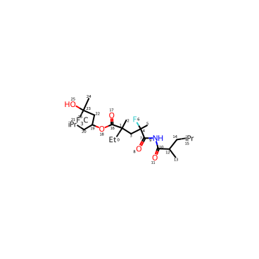 CCC(C)(CC(C)(F)C(=O)NC(=O)C(C)CC(C)C)C(=O)OC(CC(C)C)CC(C)(O)C(F)(F)F